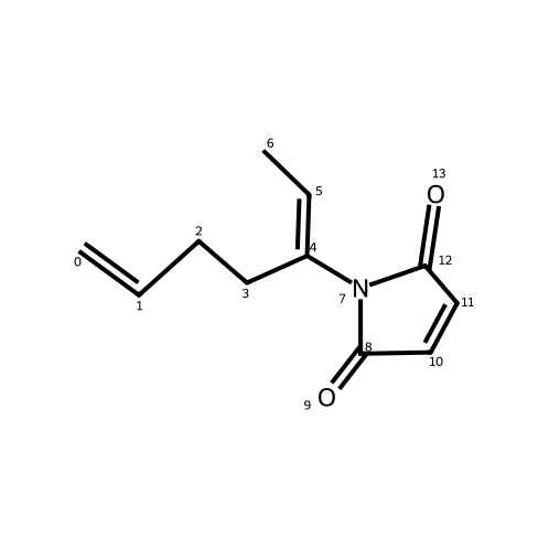 C=CCC/C(=C\C)N1C(=O)C=CC1=O